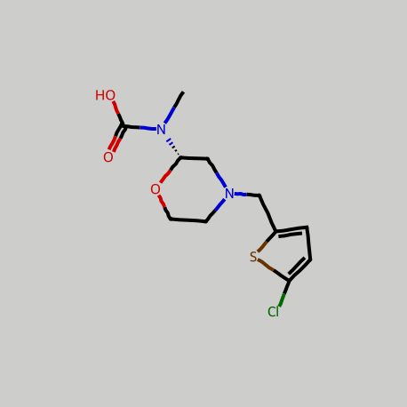 CN(C(=O)O)[C@@H]1CN(Cc2ccc(Cl)s2)CCO1